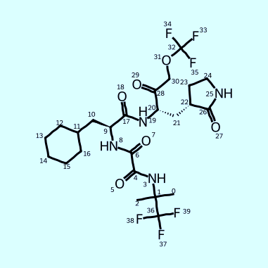 CC(C)(NC(=O)C(=O)N[C@@H](CC1CCCCC1)C(=O)N[C@@H](C[C@@H]1CCNC1=O)C(=O)COC(F)(F)F)C(F)(F)F